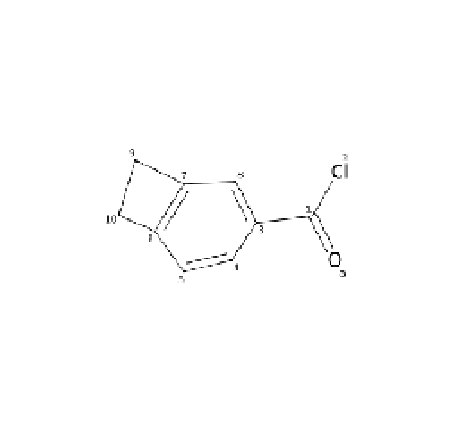 O=C(Cl)c1ccc2c(c1)CC2